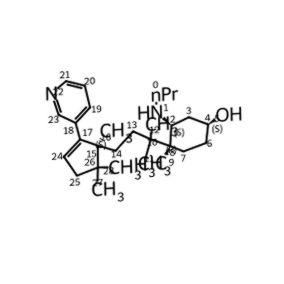 CCCN[C@H]1C[C@@H](O)CC[C@]1(C)C(C)(C)CC[C@]1(C)C(c2cccnc2)=CCC1(C)C